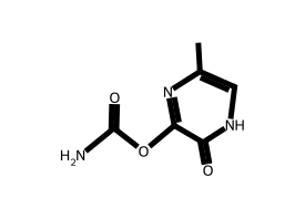 Cc1c[nH]c(=O)c(OC(N)=O)n1